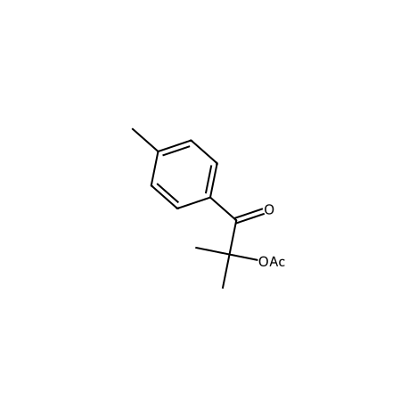 CC(=O)OC(C)(C)C(=O)c1ccc(C)cc1